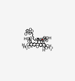 CC1(C)C=C(CS(=O)(=O)O)c2cc3c(cc2=N1)Oc1cc2c(cc1C=3c1n(CCCCCC(=O)ON3C(=O)CCC3=O)cc[n+]1CCCS(=O)(=O)O)C(CS(=O)(=O)O)=CC(C)(C)N2